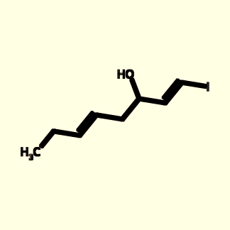 CCC=CCC(O)C=CI